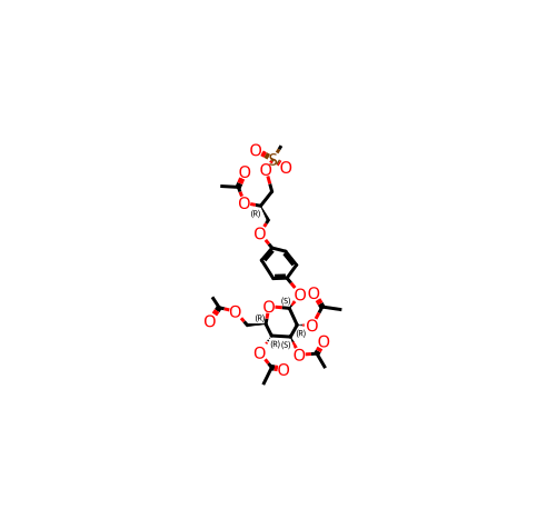 CC(=O)OC[C@H]1O[C@@H](Oc2ccc(OC[C@H](COS(C)(=O)=O)OC(C)=O)cc2)[C@H](OC(C)=O)[C@@H](OC(C)=O)[C@@H]1OC(C)=O